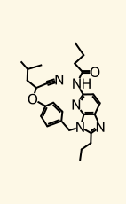 CCCC(=O)Nc1ccc2nc(CCC)n(Cc3ccc(OC(C#N)CC(C)C)cc3)c2n1